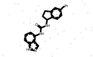 CC(C)c1ccc2c(c1)CCC2NC(=O)Nc1cccc2[nH]ncc12